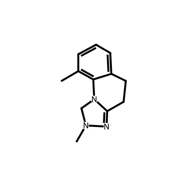 Cc1cccc2c1N1CN(C)N=C1CC2